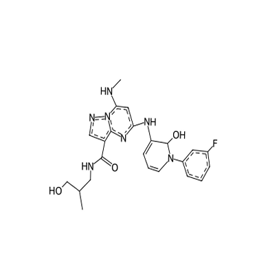 CNc1cc(NC2=CC=CN(c3cccc(F)c3)C2O)nc2c(C(=O)NCC(C)CO)cnn12